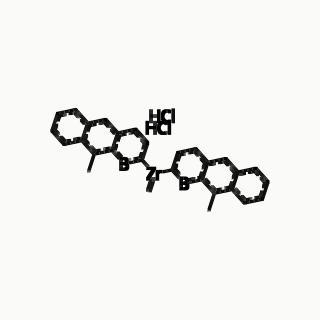 Cl.Cl.[CH2]=[Zr]([c]1bc2c(C)c3ccccc3cc2cc1)[c]1bc2c(C)c3ccccc3cc2cc1